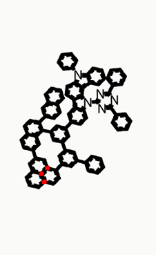 c1ccc(-c2cc(-c3ccccc3)cc(-c3cc(-c4ccc5c(c4)c4ccc6c(c7ccccc7n6-c6ccccc6)c4n5-c4nc(-c5ccccc5)nc(-c5ccccc5)n4)cc(-c4c(-c5ccc6ccccc6c5)ccc5ccc(-c6ccc7ccccc7c6)cc45)c3)c2)cc1